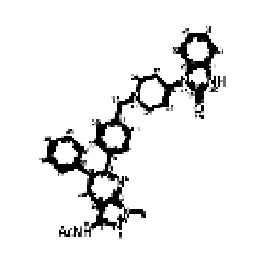 CC(=O)Nc1nn(C)c2nc(-c3ccc(CN4CCC(n5c(=O)[nH]c6ccccc65)CC4)cc3)c(-c3ccccc3)cc12